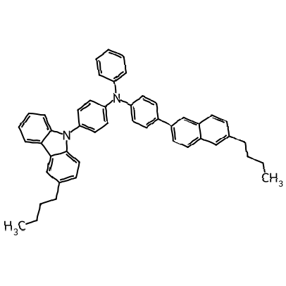 CCCCc1ccc2cc(-c3ccc(N(c4ccccc4)c4ccc(-n5c6ccccc6c6cc(CCCC)ccc65)cc4)cc3)ccc2c1